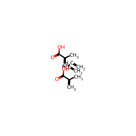 C=C.C=C.C=C(C)C(=O)O.C=C(C)C(=O)O